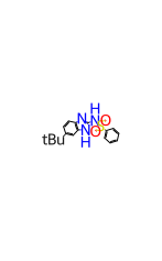 CC(C)(C)c1ccc2nc(NS(=O)(=O)c3ccccc3)[nH]c2c1